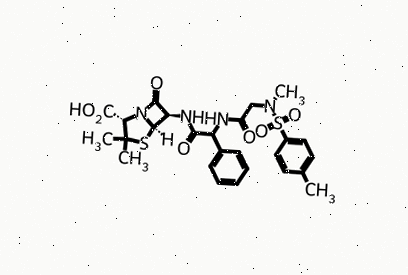 Cc1ccc(S(=O)(=O)N(C)CC(=O)NC(C(=O)N[C@@H]2C(=O)N3[C@@H]2SC(C)(C)[C@@H]3C(=O)O)c2ccccc2)cc1